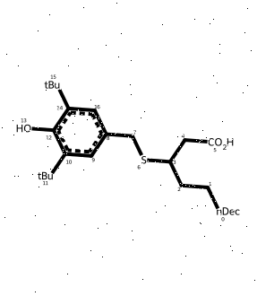 CCCCCCCCCCCCC(CC(=O)O)SCc1cc(C(C)(C)C)c(O)c(C(C)(C)C)c1